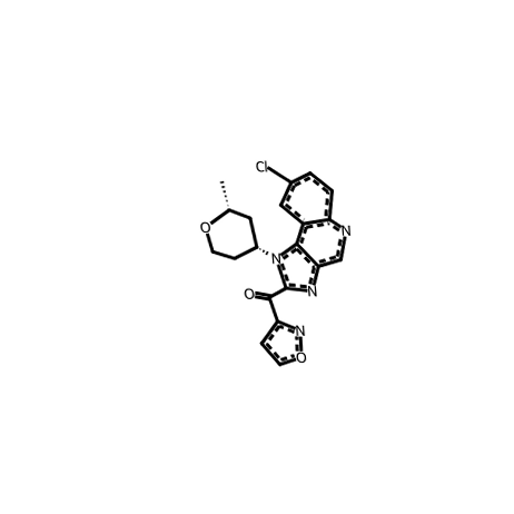 C[C@@H]1C[C@H](n2c(C(=O)c3ccon3)nc3cnc4ccc(Cl)cc4c32)CCO1